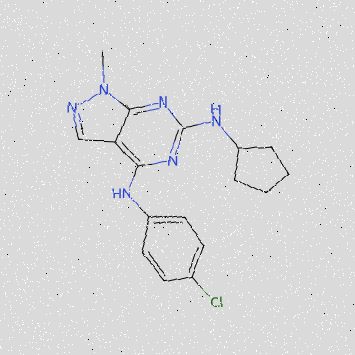 Cn1ncc2c(Nc3ccc(Cl)cc3)nc(NC3CCCC3)nc21